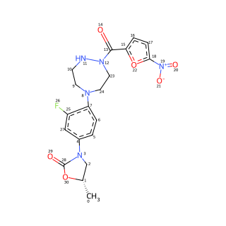 C[C@H]1CN(c2ccc(N3CCNN(C(=O)c4ccc([N+](=O)[O-])o4)CC3)c(F)c2)C(=O)O1